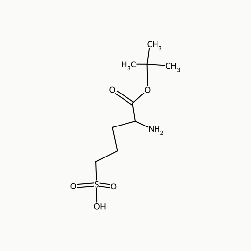 CC(C)(C)OC(=O)C(N)CCCS(=O)(=O)O